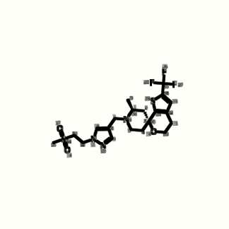 C[C@H]1C[C@@]2(CCN1Cc1cnn(CCS(C)(=O)=O)c1)OCCc1cc(C(F)(F)F)sc12